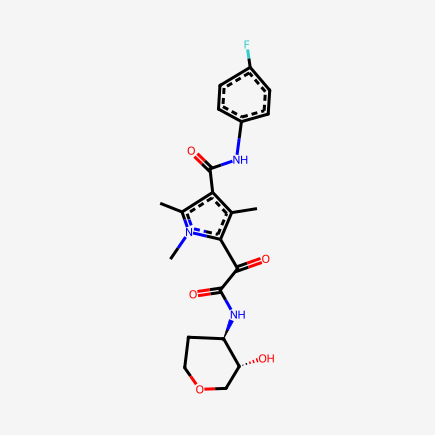 Cc1c(C(=O)Nc2ccc(F)cc2)c(C)n(C)c1C(=O)C(=O)N[C@@H]1CCOC[C@H]1O